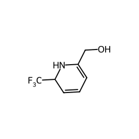 OCC1=CC=CC(C(F)(F)F)N1